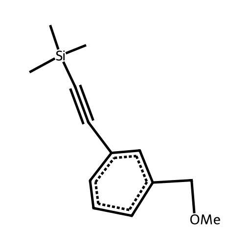 COCc1cccc(C#C[Si](C)(C)C)c1